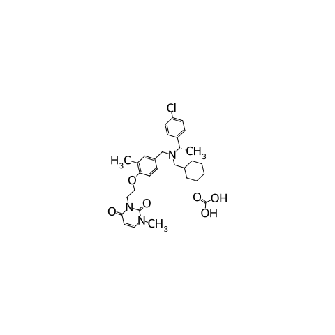 Cc1cc(CN(CC2CCCCC2)[C@@H](C)c2ccc(Cl)cc2)ccc1OCCn1c(=O)ccn(C)c1=O.O=C(O)O